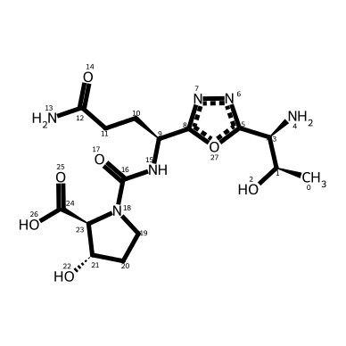 C[C@@H](O)[C@H](N)c1nnc([C@H](CCC(N)=O)NC(=O)N2CC[C@H](O)[C@H]2C(=O)O)o1